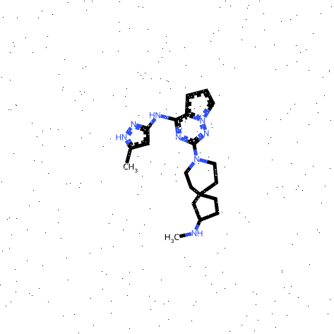 CNC1CCC2(CCN(c3nc(Nc4cc(C)[nH]n4)c4cccn4n3)CC2)C1